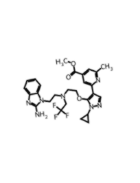 COC(=O)c1cc(C)nc(-c2cnn(C3CC3)c2OCCN(CCn2c(N)nc3ccccc32)CC(F)(F)F)c1